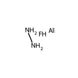 F.NN.[Al]